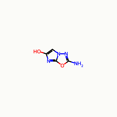 Nc1nn2cc(O)nc2o1